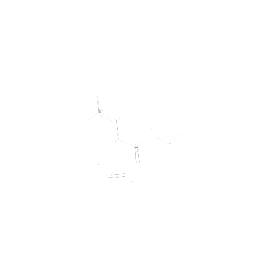 C=CCl.C=COC(=O)CC=C(C)C(=O)O